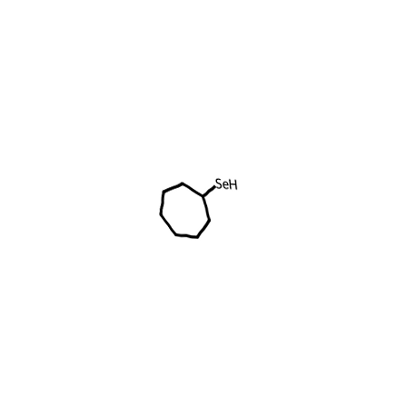 [SeH]C1CCCCCC1